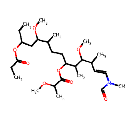 CCC(=O)OC(CC)CC(OC)C(C)CCC(OC(=O)C(C)OC)C(C)C(OC)C(C)C=CN(C)C=O